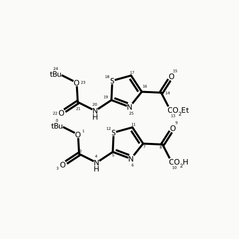 CC(C)(C)OC(=O)Nc1nc(C(=O)C(=O)O)cs1.CCOC(=O)C(=O)c1csc(NC(=O)OC(C)(C)C)n1